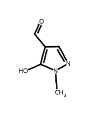 Cn1ncc(C=O)c1O